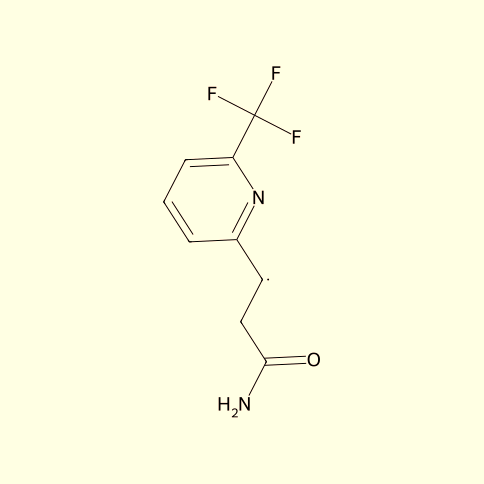 NC(=O)C[CH]c1cccc(C(F)(F)F)n1